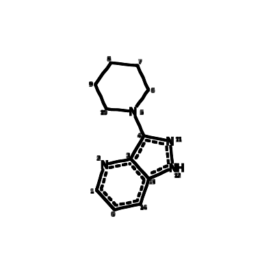 c1cnc2c(N3CCCCC3)n[nH]c2c1